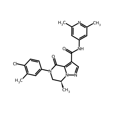 Cc1cc(NC(=O)c2cnn3c2C(=O)N(c2ccc(Cl)c(C)c2)C[C@@H]3C)cc(C)n1